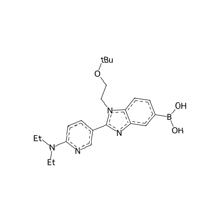 CCN(CC)c1ccc(-c2nc3cc(B(O)O)ccc3n2CCOC(C)(C)C)cn1